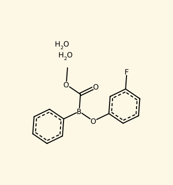 COC(=O)B(Oc1cccc(F)c1)c1ccccc1.O.O